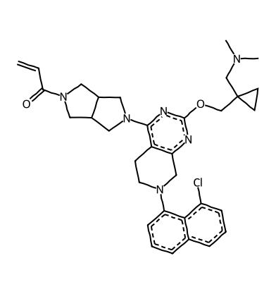 C=CC(=O)N1CC2CN(c3nc(OCC4(CN(C)C)CC4)nc4c3CCN(c3cccc5cccc(Cl)c35)C4)CC2C1